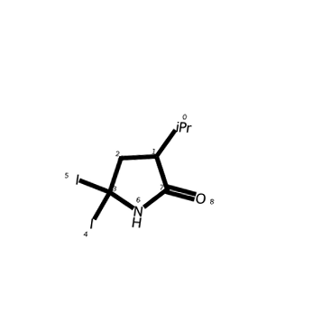 CC(C)C1CC(I)(I)NC1=O